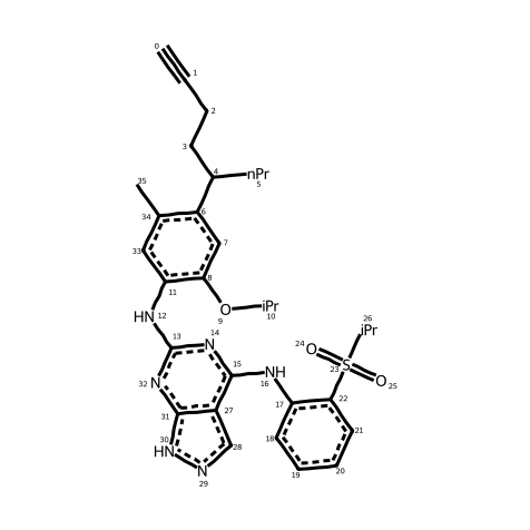 C#CCCC(CCC)c1cc(OC(C)C)c(Nc2nc(Nc3ccccc3S(=O)(=O)C(C)C)c3cn[nH]c3n2)cc1C